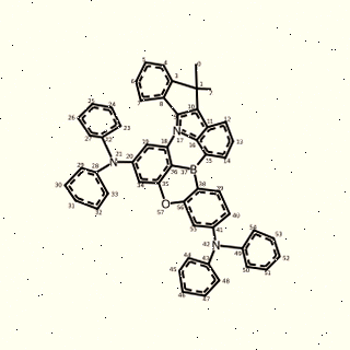 CC1(C)c2ccccc2-c2c1c1cccc3c1n2-c1cc(N(c2ccccc2)c2ccccc2)cc2c1B3c1ccc(N(c3ccccc3)c3ccccc3)cc1O2